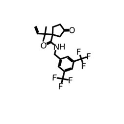 C=CC(C)(C)C1(C(=O)NCc2cc(C(F)(F)F)cc(C(F)(F)F)c2)CCC(=O)C1